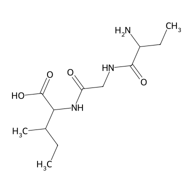 CCC(N)C(=O)NCC(=O)NC(C(=O)O)C(C)CC